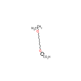 C=C(C)COCCCCCCCCCCCOc1ccc(C(=O)O)cc1